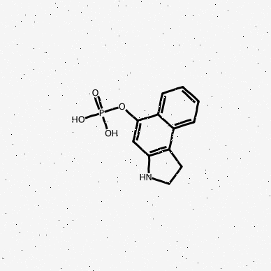 O=P(O)(O)Oc1cc2c(c3ccccc13)CCN2